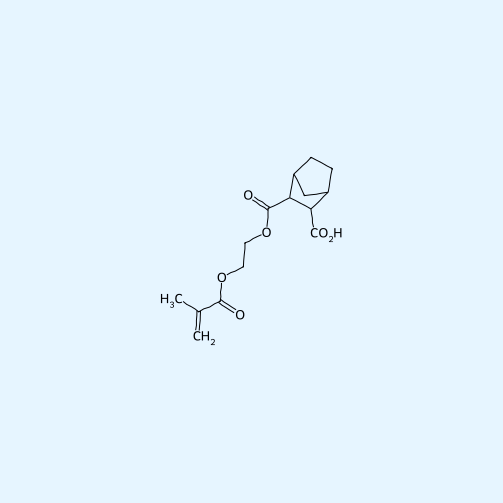 C=C(C)C(=O)OCCOC(=O)C1C2CCC(C2)C1C(=O)O